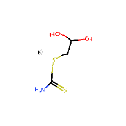 NC(=S)SCC(O)O.[K]